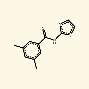 Cc1cc(C)cc(C(=O)Nc2nccs2)c1